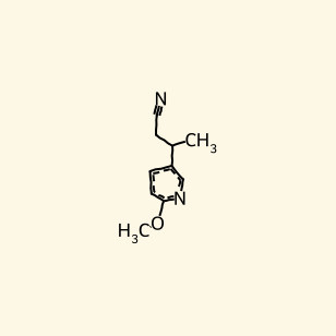 COc1ccc(C(C)CC#N)cn1